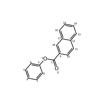 O=C(Oc1ccccc1)c1ccc2c[c]ccc2c1